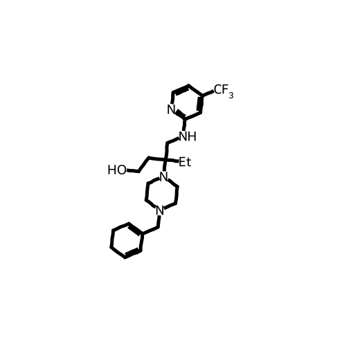 CCC(CCO)(CNc1cc(C(F)(F)F)ccn1)N1CCN(CC2=CCCC=C2)CC1